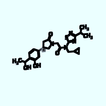 CC(C)c1nsc(N(CC2CC2)C(=O)CN2C[C@H](c3ccc(C(C)O)c(O)c3)CC2=O)n1